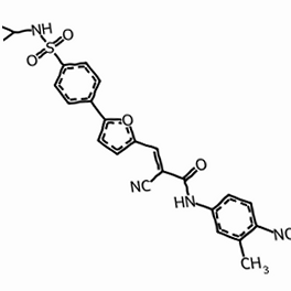 Cc1cc(NC(=O)/C(C#N)=C/c2ccc(-c3ccc(S(=O)(=O)NC4CC4)cc3)o2)ccc1[N+](=O)[O-]